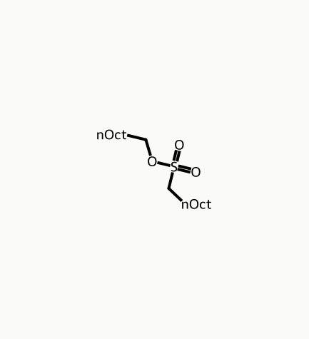 CCCCCCCCCOS(=O)(=O)CCCCCCCCC